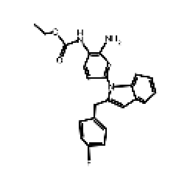 CCOC(=O)Nc1ccc(-n2c(Cc3ccc(F)cc3)[c]c3ccccc32)nc1N